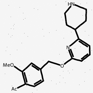 COc1cc(COc2cccc(C3CCNCC3)n2)ccc1C(C)=O